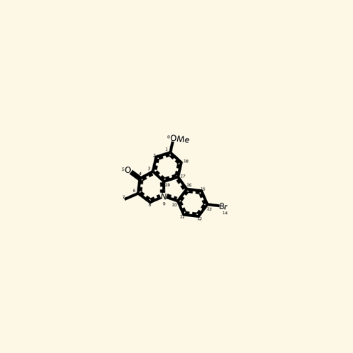 COc1cc2c(=O)c(C)cn3c4ccc(Br)cc4c(c1)c23